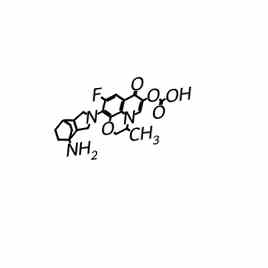 CC1COc2c(N3CC4C5CCC(N)(CC5)C4C3)c(F)cc3c(=O)c(OC(=O)O)cn1c23